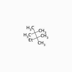 C[CH]C(C)(C)C(C)(C)C